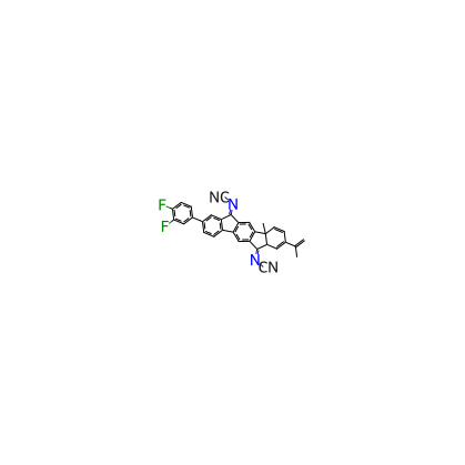 C=C(C)C1=CC2/C(=N\C#N)c3cc4c(cc3C2(C)C=C1)/C(=N/C#N)c1cc(-c2ccc(F)c(F)c2)ccc1-4